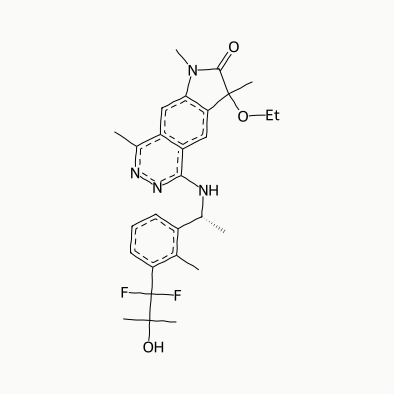 CCOC1(C)C(=O)N(C)c2cc3c(C)nnc(N[C@H](C)c4cccc(C(F)(F)C(C)(C)O)c4C)c3cc21